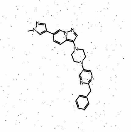 Cn1cc(-c2ccc3c(N4CCN(c5cnc(Cc6ccccc6)nc5)CC4)cnn3c2)cn1